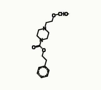 O=[C]OCCN1CCN(C(=O)OCCc2ccccc2)CC1